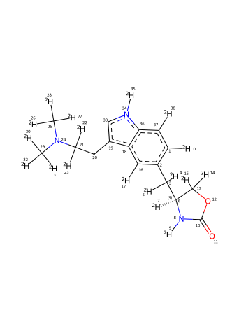 [2H]c1c(C([2H])([2H])[C@]2([2H])N([2H])C(=O)OC2([2H])[2H])c([2H])c2c(CC([2H])([2H])N(C([2H])([2H])[2H])C([2H])([2H])[2H])cn([2H])c2c1[2H]